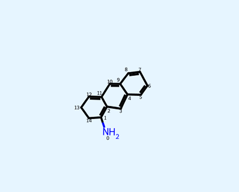 NC1=c2cc3ccccc3cc2=CCC1